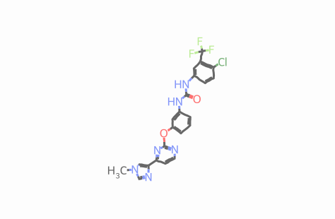 Cn1cnc(-c2ccnc(Oc3cccc(NC(=O)Nc4ccc(Cl)c(C(F)(F)F)c4)c3)n2)c1